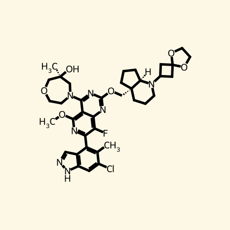 COc1nc(-c2c(C)c(Cl)cc3[nH]ncc23)c(F)c2nc(OC[C@]34CCC[C@H]3N(C3CC5(C3)OCCO5)CCC4)nc(N3CCOC[C@@](C)(O)C3)c12